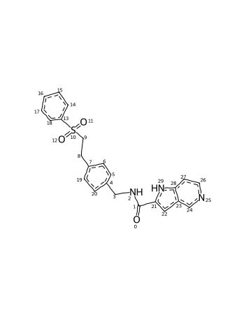 O=C(NCc1ccc(CCS(=O)(=O)c2ccccc2)cc1)c1cc2cnccc2[nH]1